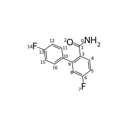 NC(=O)c1ccc(F)cc1-c1ccc(F)cc1